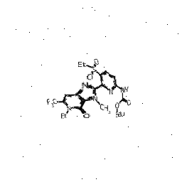 CCn1c(C(F)(F)F)cc2nc(-c3nc(NC(=O)OC(C)(C)C)ccc3S(=O)(=O)CC)n(C)c2c1=O